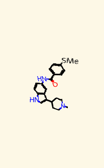 CSc1ccc(C(=O)Nc2ccc3[nH]cc(C4CCN(C)CC4)c3c2)cc1